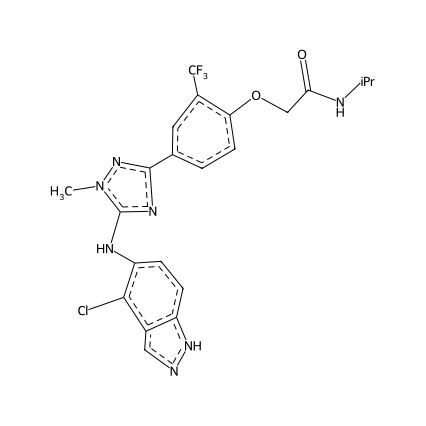 CC(C)NC(=O)COc1ccc(-c2nc(Nc3ccc4[nH]ncc4c3Cl)n(C)n2)cc1C(F)(F)F